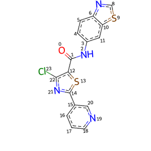 O=C(Nc1ccc2ncsc2c1)c1sc(-c2cccnc2)nc1Cl